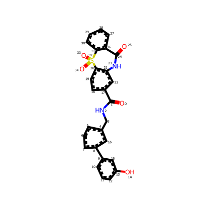 O=C(NCc1cccc(-c2cccc(O)c2)c1)c1ccc2c(c1)NC(=O)c1ccccc1S2(=O)=O